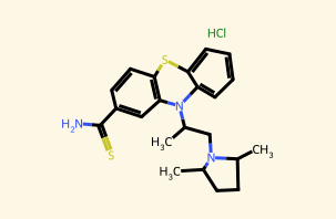 CC(CN1C(C)CCC1C)N1c2ccccc2Sc2ccc(C(N)=S)cc21.Cl